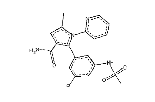 Cc1cc(C(N)=O)c(-c2cc(Cl)cc(NS(C)(=O)=O)c2)n1-c1ccccn1